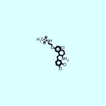 CS(=O)(=O)NCCOc1ccc2c(c1)C(Cc1ccc(Cl)c(Cl)c1)C(N)CC2.Cl